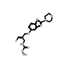 CC(C)(C)OC(=O)NC/C(=C\F)COc1ccc2nc(N3CCOCC3)oc2c1